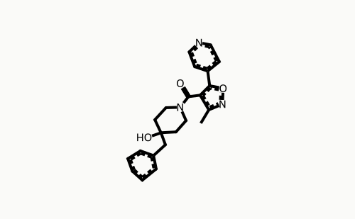 Cc1noc(-c2ccncc2)c1C(=O)N1CCC(O)(Cc2ccccc2)CC1